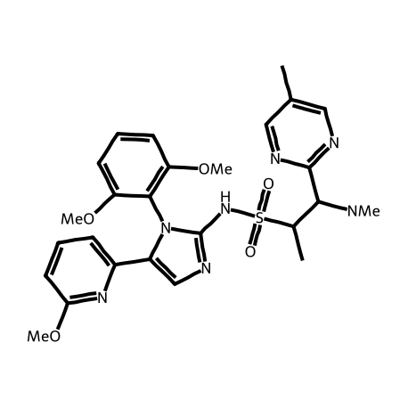 CNC(c1ncc(C)cn1)C(C)S(=O)(=O)Nc1ncc(-c2cccc(OC)n2)n1-c1c(OC)cccc1OC